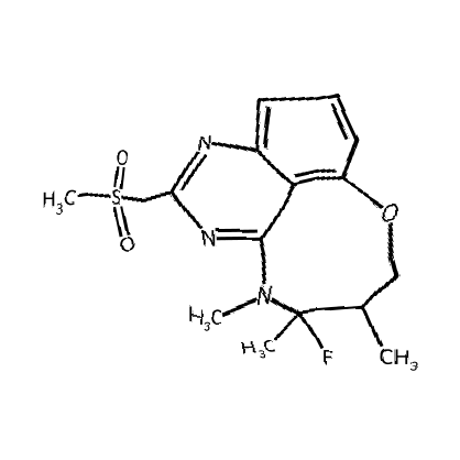 CC1COc2cccc3nc(S(C)(=O)=O)nc(c23)N(C)C1(C)F